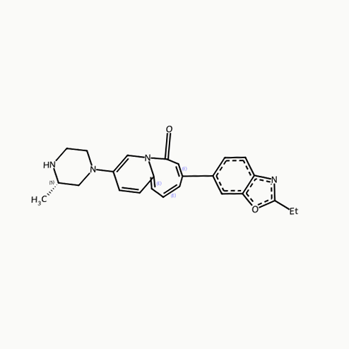 CCc1nc2ccc(C3=C\C(=O)N4C=C(N5CCN[C@@H](C)C5)C=C\C4=C/C=C/3)cc2o1